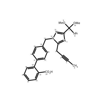 CC#CCc1nc(C(CCC)(OC)OC)nn1Cc1ccc(-c2ccccc2C(=O)O)cc1